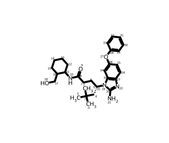 CC(C)(C)C[C@H](CCC(=O)NC1CCCCC1CO)n1c(N)nc2ccc(Oc3ccccc3)cc21